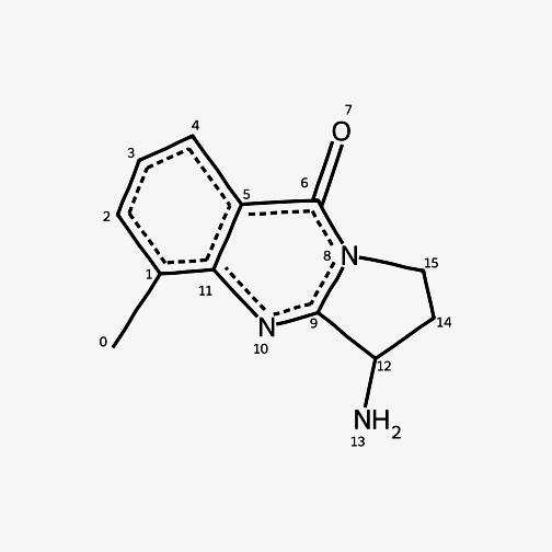 Cc1cccc2c(=O)n3c(nc12)C(N)CC3